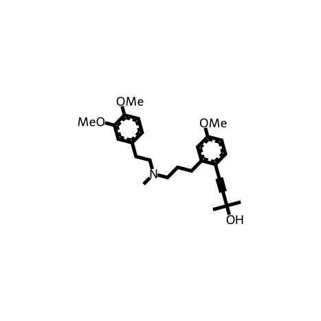 COc1ccc(C#CC(C)(C)O)c(CCCN(C)CCc2ccc(OC)c(OC)c2)c1